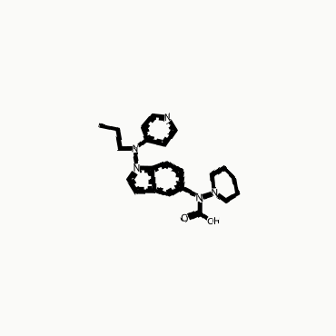 CCCN(c1ccncc1)n1ccc2cc(N(C(=O)O)N3CCCCC3)ccc21